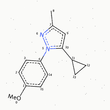 COc1ccc(-n2nc(C)cc2C2CC2)cc1